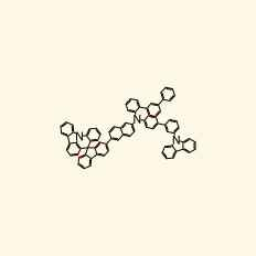 c1ccc(-c2cccc(-c3ccccc3N(c3ccc(-c4cccc(-n5c6ccccc6c6ccccc65)c4)cc3)c3ccc4cc(-c5ccc6c(c5)C5(c7ccccc7-6)c6ccccc6-n6c7ccccc7c7cccc5c76)ccc4c3)c2)cc1